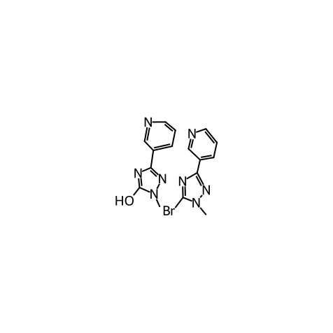 Cn1nc(-c2cccnc2)nc1Br.Cn1nc(-c2cccnc2)nc1O